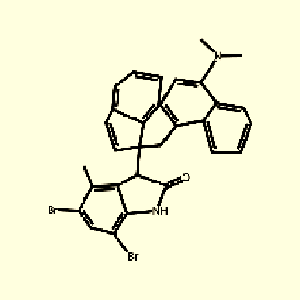 Cc1c(Br)cc(Br)c2c1C(C1(Cc3ccc(N(C)C)c4ccccc34)C=Cc3ccccc31)C(=O)N2